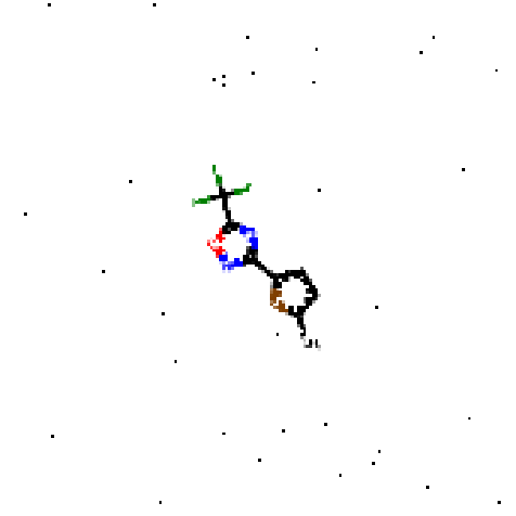 Cc1ccc(-c2noc(C(F)(F)F)n2)s1